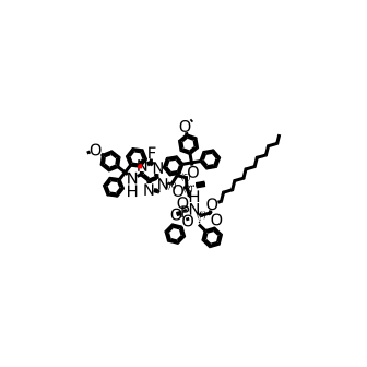 C#C[C@]1(COP(=O)(N[C@@H](Cc2ccccc2)C(=O)OCCCCCCCCCCCC)Oc2ccccc2)O[C@@H](n2cnc3c(NC(c4ccccc4)(c4ccccc4)c4ccc(OC)cc4)nc(F)nc32)C[C@@H]1OC(c1ccccc1)(c1ccccc1)c1ccc(OC)cc1